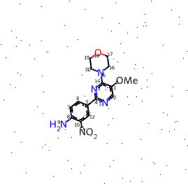 COc1cnc(-c2ccc(N)c([N+](=O)[O-])c2)nc1N1CCOCC1